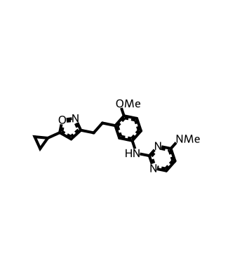 CNc1ccnc(Nc2ccc(OC)c(CCc3cc(C4CC4)on3)c2)n1